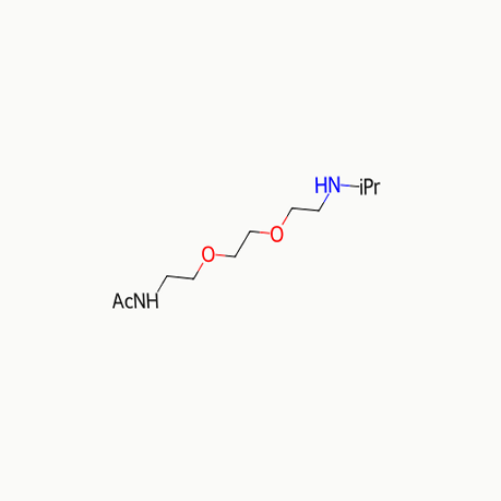 CC(=O)NCCOCCOCCNC(C)C